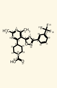 Cc1nc(C)c(-c2nc(-c3cccc(C(F)(F)F)c3)no2)c(C2CCN(C(=O)O)CC2)n1